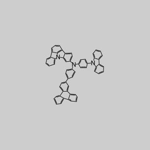 c1ccc2c(c1)c1ccccc1c1cc(-c3ccc(N(c4ccc(-n5c6ccccc6c6ccccc65)cc4)c4ccc5c6cccc7c8ccccc8n(c5c4)c76)cc3)ccc21